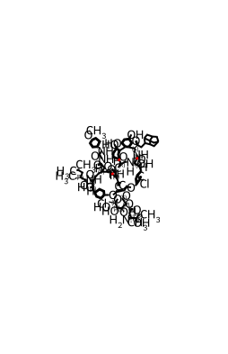 CC[C@H](CC(C)C)C(=O)N[C@H]1C(=O)C[C@@H](CC(=O)NC(=O)Nc2ccc(OC)cc2)C(=O)N[C@H]2C(=O)C[C@H]3C(=O)N[C@H](C(=O)N[C@H](C(=O)CC4C5CC6CC(C5)CC4C6)c4cc(O)cc(O)c4-c4cc3ccc4O)[C@H](O)c3ccc(c(Cl)c3)Oc3cc2cc(c3O[C@@H]2O[C@H](CO)[C@@H](O)[C@H](O)[C@H]2O[C@H]2C[C@](C)(N)[C@H](O)[C@H](C)O2)Oc2ccc(cc2Cl)[C@H]1O